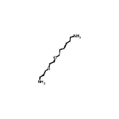 NCCCCCCOCCOCCCN